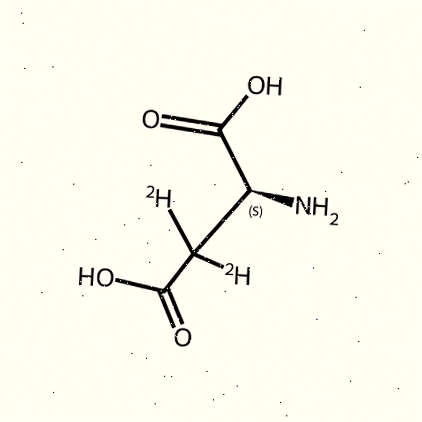 [2H]C([2H])(C(=O)O)[C@H](N)C(=O)O